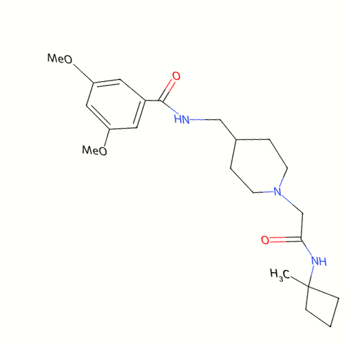 COc1cc(OC)cc(C(=O)NCC2CCN(CC(=O)NC3(C)CCC3)CC2)c1